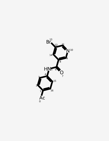 CC(=O)c1ccc(NC(=O)c2cncc(Br)c2)cc1